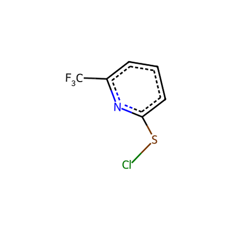 FC(F)(F)c1cccc(SCl)n1